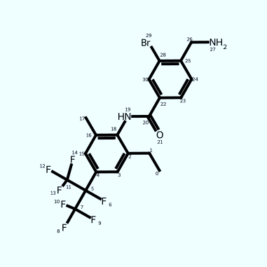 CCc1cc(C(F)(C(F)(F)F)C(F)(F)F)cc(C)c1NC(=O)c1ccc(CN)c(Br)c1